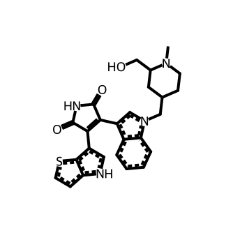 CN1CCC(Cn2cc(C3=C(c4c[nH]c5ccsc45)C(=O)NC3=O)c3ccccc32)CC1CO